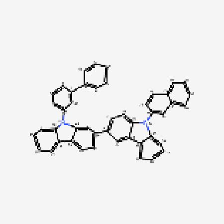 c1ccc(-c2cccc(-n3c4ccccc4c4ccc(-c5ccc6c(c5)c5ccccc5n6-c5ccc6ccccc6c5)cc43)c2)cc1